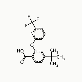 CC(C)(C)c1ccc(C(=O)O)c(Oc2cccc(C(F)(F)F)n2)c1